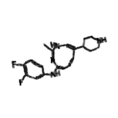 Cc1nc(Nc2ccc(F)c(F)c2)cccc(C2CCNCC2)c[nH]1